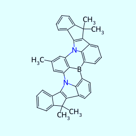 Cc1cc2c3c(c1)-n1c4c(c5cccc(c51)B3c1cccc3c5c(n-2c13)-c1ccccc1C5(C)C)C(C)(C)c1ccccc1-4